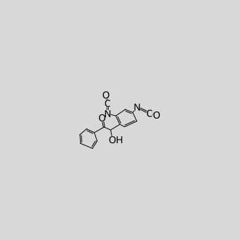 O=C=Nc1ccc(C(O)C(=O)c2ccccc2)c(N=C=O)c1